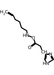 C=CCCCCNOC(=O)CC.c1c[nH]cn1